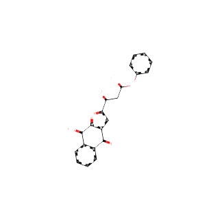 O=C(CC(=O)c1cc2c(o1)C(=O)c1ccccc1C2=O)Oc1ccccc1